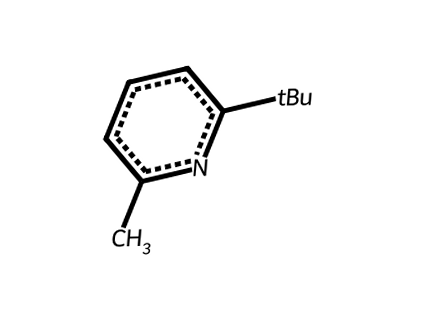 Cc1cccc(C(C)(C)C)n1